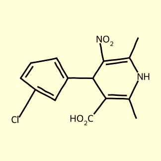 CC1=C(C(=O)O)C(c2cccc(Cl)c2)C([N+](=O)[O-])=C(C)N1